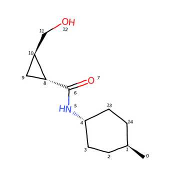 C[C@H]1CC[C@H](NC(=O)[C@@H]2C[C@H]2CO)CC1